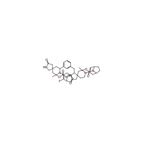 CCOC(=O)N1C2C=C(N3CCC4(CC3)CC(=O)NC4Cc3cccc(C4CC5(CCN4C4=C(F)C6CCC(C4)N6C(=O)OCC)CNC(=O)C5)c3)CC1CC2